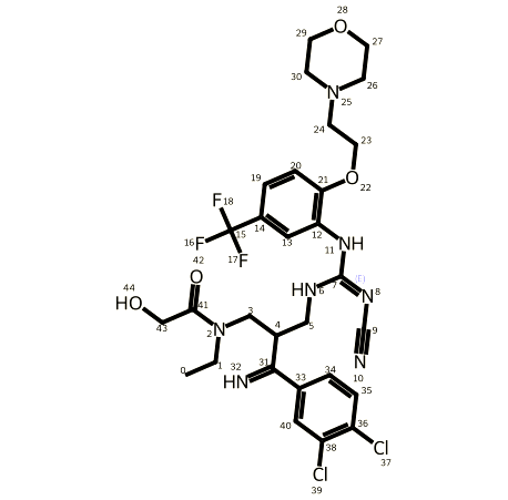 CCN(CC(CN/C(=N\C#N)Nc1cc(C(F)(F)F)ccc1OCCN1CCOCC1)C(=N)c1ccc(Cl)c(Cl)c1)C(=O)CO